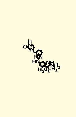 Cc1cc(Nc2nc3cccc(CN4CCNC(=O)C4)n3n2)cc2c1C(C)(C)C(N)N2